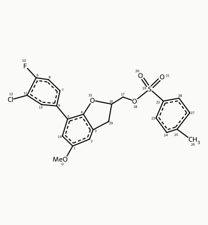 COc1cc2c(c(-c3ccc(F)c(Cl)c3)c1)OC(COS(=O)(=O)c1ccc(C)cc1)C2